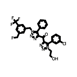 O=C(c1nnn(CCO)c1-c1cccc(Cl)c1)c1nnn(Cc2cc(CF)cc(C(F)(F)F)c2)c1-c1ccccc1